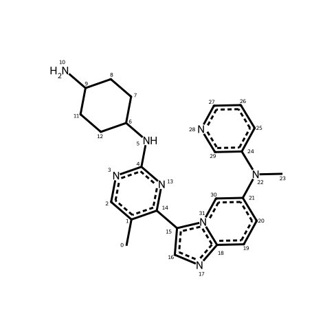 Cc1cnc(NC2CCC(N)CC2)nc1-c1cnc2ccc(N(C)c3cccnc3)cn12